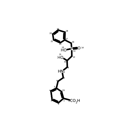 O=C(O)c1cccc(CCNCC(O)CP(=O)(O)Cc2ccccc2)c1